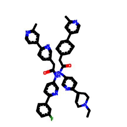 CCN1CC=C(c2ccc(NC(=O)Cc3ccc(-c4ccnc(C)c4)cc3)cn2)CC1.Cc1cc(-c2ccc(CC(=O)Nc3ccc(-c4cccc(F)c4)nc3)cn2)ccn1